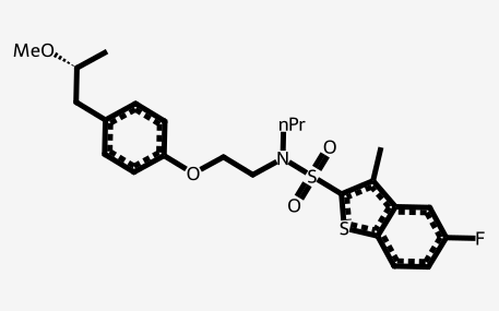 CCCN(CCOc1ccc(C[C@@H](C)OC)cc1)S(=O)(=O)c1sc2ccc(F)cc2c1C